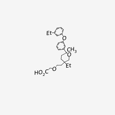 CCc1cccc(Oc2cccc(C3(C)CCC(CC)(CCOCC(=O)O)CO3)c2)c1